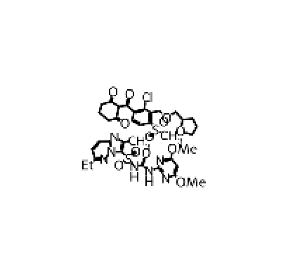 CCc1ccc2nc(C)c(S(=O)(=O)NC(=O)Nc3nc(OC)cc(OC)n3)n2n1.CS(=O)(=O)c1ccc(C(=O)C2C(=O)CCCC2=O)c(Cl)c1COCC1CCCO1